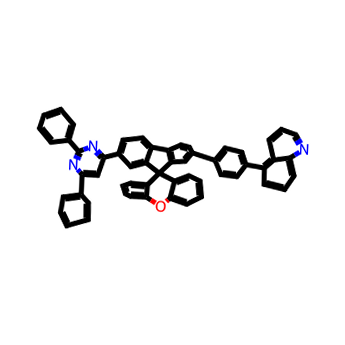 c1ccc(-c2cc(-c3ccc4c(c3)C3(c5ccccc5Oc5ccccc53)c3cc(-c5ccc(-c6cccc7ncccc67)cc5)ccc3-4)nc(-c3ccccc3)n2)cc1